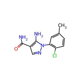 Cc1ccc(Cl)c(-n2ncc(C(N)=O)c2N)c1